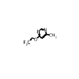 Cc1cc(OCC(F)(F)F)ncn1